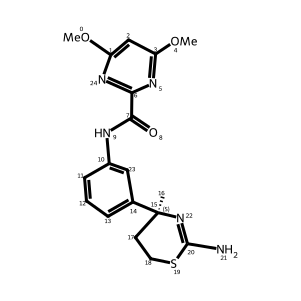 COc1cc(OC)nc(C(=O)Nc2cccc([C@]3(C)CCSC(N)=N3)c2)n1